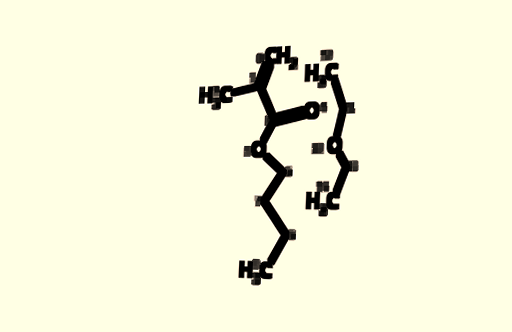 C=C(C)C(=O)OCCCC.CCOCC